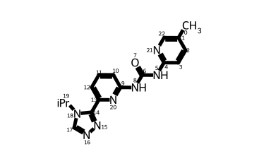 Cc1ccc(NC(=O)Nc2cccc(-c3nncn3C(C)C)n2)nc1